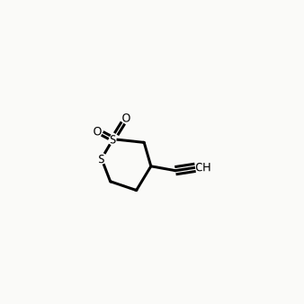 C#CC1CCSS(=O)(=O)C1